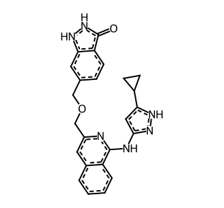 O=c1[nH][nH]c2cc(COCc3cc4ccccc4c(Nc4cc(C5CC5)[nH]n4)n3)ccc12